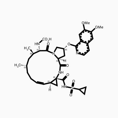 COc1cc2ccnc(O[C@@H]3C[C@H]4C(=O)N[C@]5(C(=O)NS(=O)(=O)C6CC6)C[C@H]5C=CCC[C@H](C)C[C@@H](C)[C@H](NC(=O)O)C(=O)N4C3)c2cc1OC